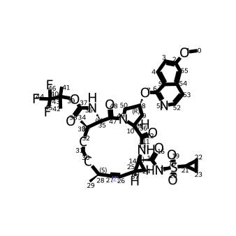 COc1ccc2c(O[C@@H]3C[C@H]4C(=O)N[C@]5(C(=O)NS(=O)(=O)C6CC6)C[C@H]5/C=C\[C@@H](C)CCC[C@@H](C)[C@H](NC(=O)OC(C)(C)C(F)(F)F)C(=O)N4C3)nccc2c1